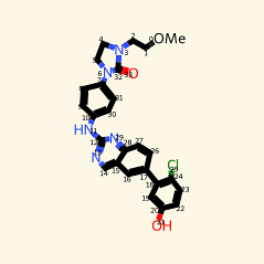 COCCN1CCN(c2ccc(Nc3ncc4cc(-c5cc(O)ccc5Cl)ccc4n3)cc2)C1=O